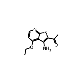 CCOc1ccnc2sc(C(C)=O)c(N)c12